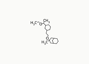 CCOC(C)C1CCCC(CCOC2(C)CC3CCCC(C3)C2)C1